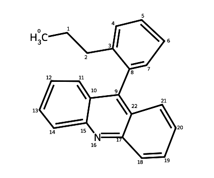 CCCc1ccccc1-c1c2ccccc2nc2ccccc12